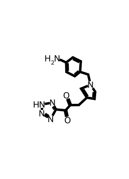 Nc1ccc(Cn2ccc(CC(=O)C(=O)c3nn[nH]n3)c2)cc1